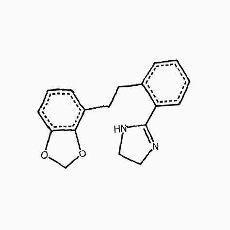 c1ccc(C2=NCCN2)c(CCc2cccc3c2OCO3)c1